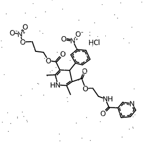 CC1=C(C(=O)OCCCO[N+](=O)[O-])C(c2cccc([N+](=O)[O-])c2)C(C(=O)OCCNC(=O)c2cccnc2)=C(C)N1.Cl